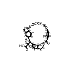 CC(C)(C(=O)O)C1c2ccc3c(c2)CN(CC3)C(=O)c2ccc(cc2F)OCCCCCCn2nnc3cc1ccc32